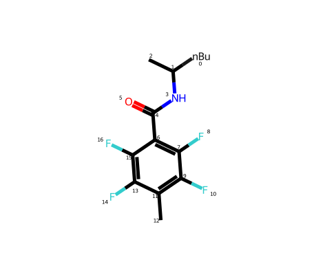 CCCCC(C)NC(=O)c1c(F)c(F)c(C)c(F)c1F